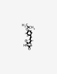 CC(C)Oc1ccc(C=CC=C2SC(=O)NC2=O)cc1